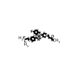 COC(=O)CCN1CCC(N(Cc2ccc(F)cc2)c2nnc(-c3ccc(OCC(C)C)cc3)[nH]2)CC1